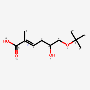 C/C(=C\CC(O)COC(C)(C)C)C(=O)O